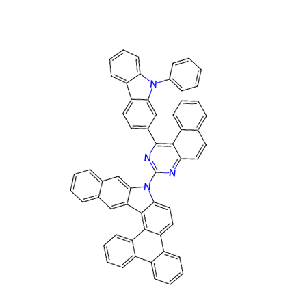 c1ccc(-n2c3ccccc3c3ccc(-c4nc(-n5c6cc7ccccc7cc6c6c7c8ccccc8c8ccccc8c7ccc65)nc5ccc6ccccc6c45)cc32)cc1